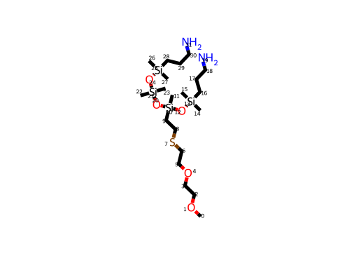 COCCOCCSCC[Si](C)(O[Si](C)(C)CCCN)O[Si](C)(C)O[Si](C)(C)CCCN